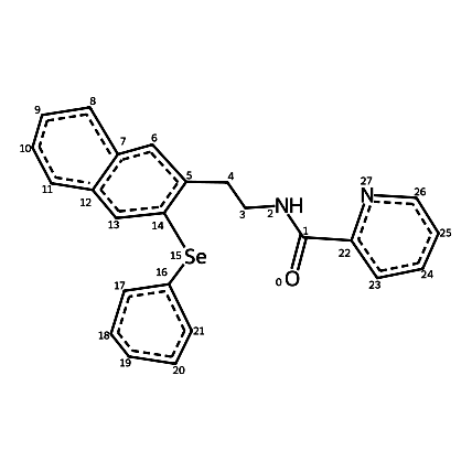 O=C(NCCc1cc2ccccc2cc1[Se]c1ccccc1)c1ccccn1